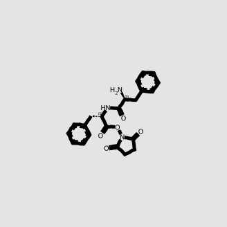 N[C@@H](Cc1ccccc1)C(=O)N[C@@H](Cc1ccccc1)C(=O)ON1C(=O)CCC1=O